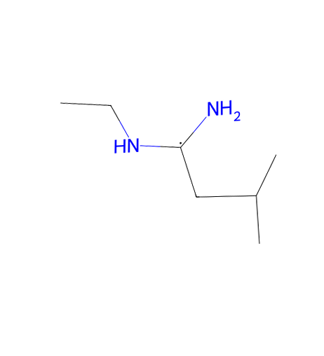 CCN[C](N)CC(C)C